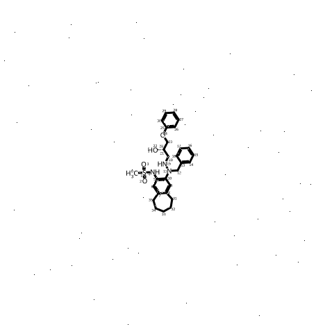 CS(=O)(=O)Nc1cc2c(cc1N(Cc1ccccc1)NC[C@H](O)COc1ccccc1)CCCCC2